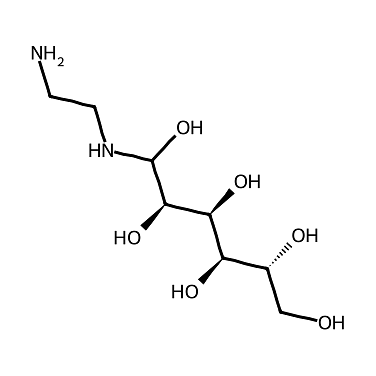 NCCNC(O)[C@H](O)[C@@H](O)[C@H](O)[C@H](O)CO